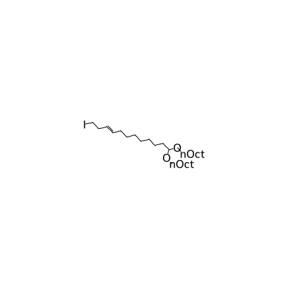 CCCCCCCCOC(CCCCCCC/C=C/CCI)OCCCCCCCC